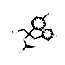 O=C(OC(Cc1nc[nH]n1)(CC(Cl)(Cl)Cl)c1ccc(Cl)cc1)C(F)(F)F